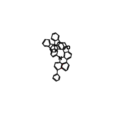 c1ccc(-c2ccc(N(c3ccc4c(c3)C3(c5ccccc5-c5ccccc53)c3ccccc3-4)c3c(-c4ccccc4)ccc4oc5ccc6ccccc6c5c34)cc2)cc1